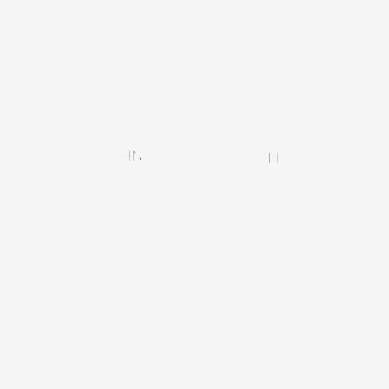 [CH2]/C=C/Cc1c[nH]c2ccccc12